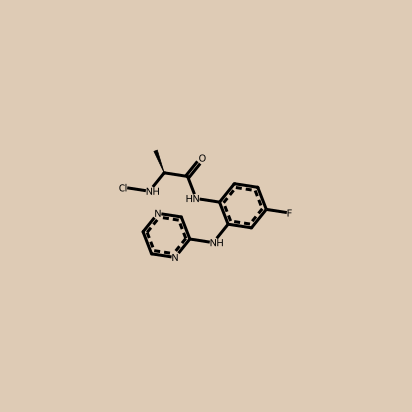 C[C@H](NCl)C(=O)Nc1ccc(F)cc1Nc1cnccn1